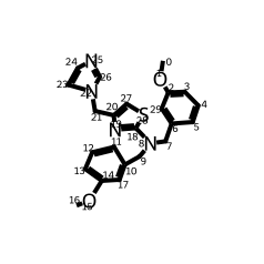 COc1cccc(CN(Cc2cccc(OC)c2)c2nc(Cn3ccnc3)cs2)c1